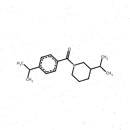 CC(C)c1ccc(C(=O)N2CCCC(C(C)C)C2)cc1